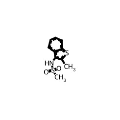 Cc1sc2ccccc2c1NS(C)(=O)=O